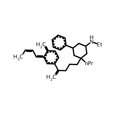 C=C(CCCC1(CCC)CC(NCC)CC(c2ccccc2)C1)c1ccc(=C)/c(=C\C=C/C)c1